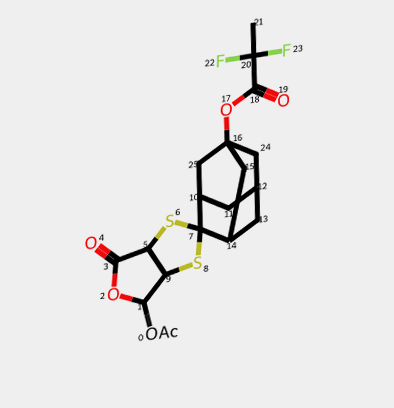 CC(=O)OC1OC(=O)C2SC3(SC12)C1CC2CC3CC(OC(=O)C(C)(F)F)(C2)C1